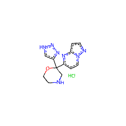 Cl.c1cc2nc(C3(c4c[nH]nn4)CNCCO3)ccn2n1